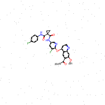 CCCOc1cc2nccc(Oc3ncc(NC(=O)C4(C(=O)Nc5ccc(F)cc5)CC4)cc3F)c2cc1C(=O)NC